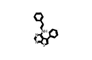 C(=Cc1ccccc1)Nc1ncnc2scc(-c3ccccc3)c12